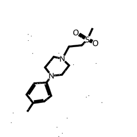 Cc1ccc(N2CCN(CCS(C)(=O)=O)CC2)cc1